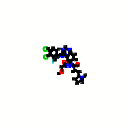 COCCOc1c(NC(=O)C=CC2CCCN2C)ccc2ncnc(Nc3ccc(Cl)c(Cl)c3F)c12